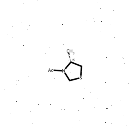 CC(=O)N1CSC[C@H]1C